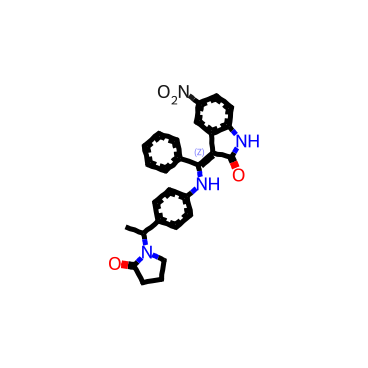 CC(c1ccc(N/C(=C2\C(=O)Nc3ccc([N+](=O)[O-])cc32)c2ccccc2)cc1)N1CCCC1=O